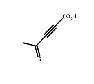 CC(=S)C#CC(=O)O